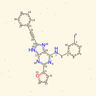 Ic1cccc(CNc2nc(-c3ccco3)nc3[nH]c(C#Cc4ccccc4)nc23)c1